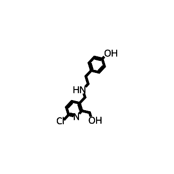 OCc1nc(Cl)ccc1CNCCc1ccc(O)cc1